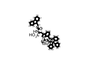 CC(C)(C)OC(=O)n1cc(C[C@H](NC(=O)OCC2c3ccccc3-c3ccccc32)C(=O)O)c2cccc(-c3nnn(C(c4ccccc4)(c4ccccc4)c4ccccc4)n3)c21